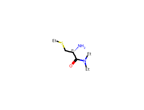 CCSC[C@H](N)C(=O)N(CC)CC